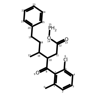 Cc1cccc(Cl)c1C(=O)C(CC(=O)OP)C(C)CCc1ccccc1